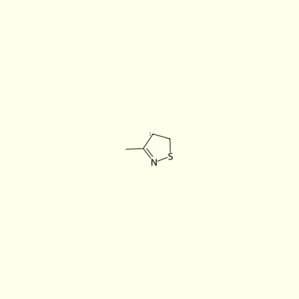 CC1=NSC[C]1